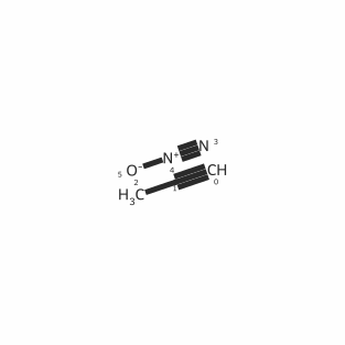 C#CC.N#[N+][O-]